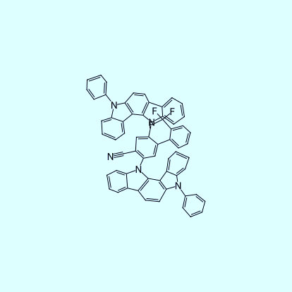 N#Cc1cc(-n2c3ccccc3c3ccc4c(c5ccccc5n4-c4ccccc4)c32)c(-c2ccccc2C(F)(F)F)cc1-n1c2ccccc2c2ccc3c(c4ccccc4n3-c3ccccc3)c21